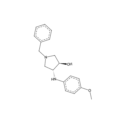 COc1ccc(N[C@@H]2CN(Cc3ccccc3)C[C@H]2O)cc1